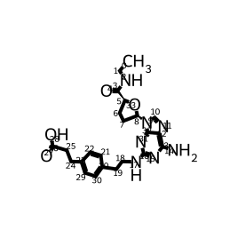 CCNC(=O)[C@@H]1CC[C@H](n2cnc3c(N)nc(NCCc4ccc(CCC(=O)O)cc4)nc32)O1